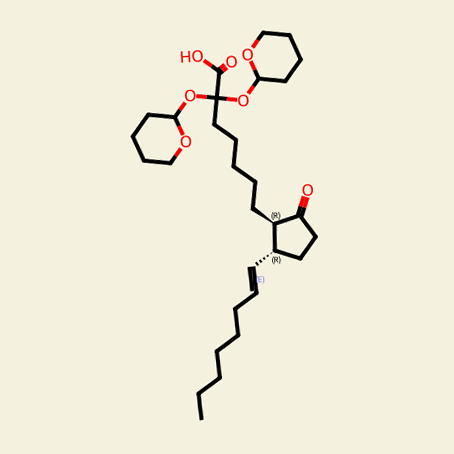 CCCCCC/C=C/[C@H]1CCC(=O)[C@@H]1CCCCCC(OC1CCCCO1)(OC1CCCCO1)C(=O)O